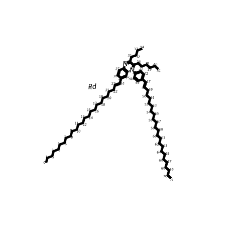 CCCCCCCCCCCCCCCCCCCCCCCC=Cc1ccc(N=C(CCCC)C(CCCCCC)=Nc2ccc(C=CCCCCCCCCCCCCCCCCCCCCCCC)cc2)cc1.[Pd]